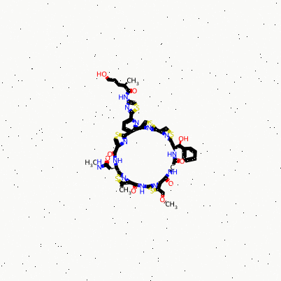 CNC(=O)C[C@@H]1NC(=O)c2csc(n2)-c2ccc(-c3nc(NC(=O)[C@H](C)CCCO)cs3)nc2-c2csc(n2)-c2csc(n2)[C@H]([C@@H](O)c2ccccc2)NC(=O)CNC(=O)C2N=C(NC(=O)C3N=C1SC3C)SC2COC